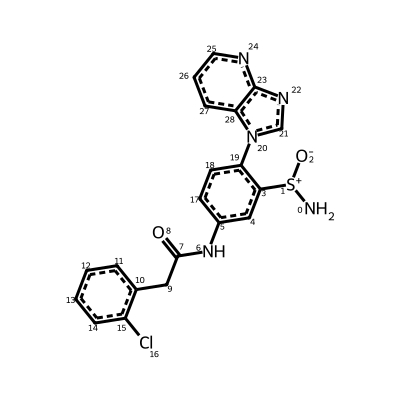 N[S+]([O-])c1cc(NC(=O)Cc2ccccc2Cl)ccc1-n1cnc2ncccc21